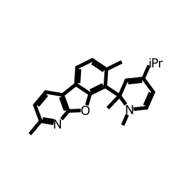 Cc1ccc2c(n1)oc1c(C3(C)C=C(C(C)C)C=CN3C)c(C)ccc12